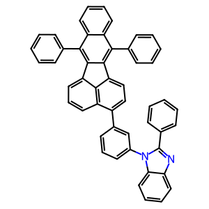 c1ccc(-c2c3c(c(-c4ccccc4)c4ccccc24)-c2ccc(-c4cccc(-n5c(-c6ccccc6)nc6ccccc65)c4)c4cccc-3c24)cc1